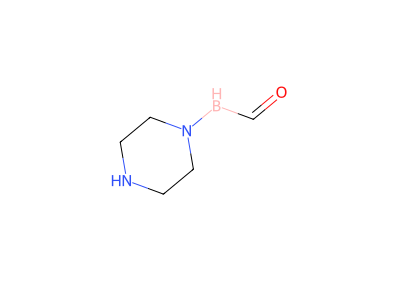 O=CBN1CCNCC1